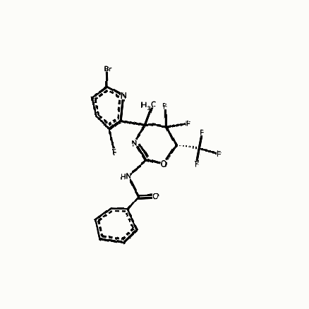 CC1(c2nc(Br)ccc2F)N=C(NC(=O)c2ccccc2)O[C@@H](C(F)(F)F)C1(F)F